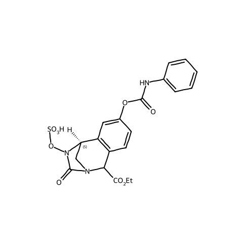 CCOC(=O)C1c2ccc(OC(=O)Nc3ccccc3)cc2[C@H]2CN1C(=O)N2OS(=O)(=O)O